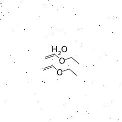 C=COCC.C=COCC.O